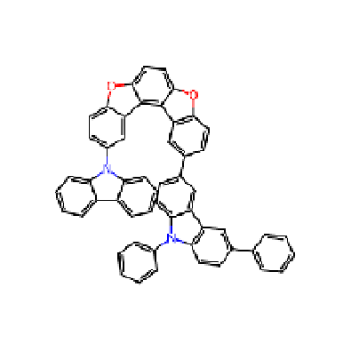 c1ccc(-c2ccc3c(c2)c2cc(-c4ccc5oc6ccc7oc8ccc(-n9c%10ccccc%10c%10ccccc%109)cc8c7c6c5c4)ccc2n3-c2ccccc2)cc1